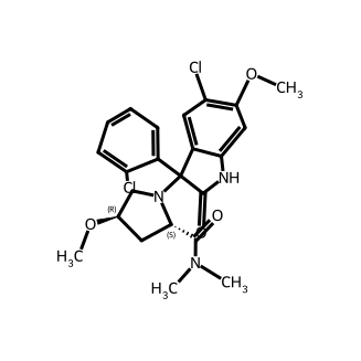 COc1cc2c(cc1Cl)C(c1ccccc1Cl)(N1C[C@H](OC)C[C@H]1C(=O)N(C)C)C(=O)N2